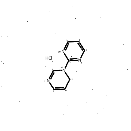 C1=CN=CN(c2ncccn2)C1.Cl